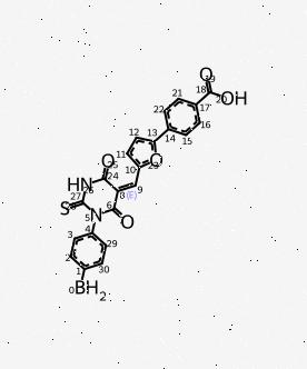 Bc1ccc(N2C(=O)/C(=C/c3ccc(-c4ccc(C(=O)O)cc4)o3)C(=O)NC2=S)cc1